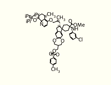 COC(=O)C1(Nc2cccc(Cl)c2)CCC2(CC1)c1cc3c(cc1C[C@@H]2C[C@@H](C)COc1ccnc2c1[C@@H](C)CC[C@H]2O[Si](C(C)C)(C(C)C)C(C)C)OCC(COS(=O)(=O)c1ccc(C)cc1)CO3